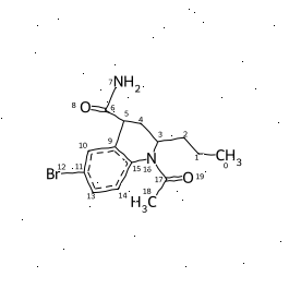 CCCC1CC(C(N)=O)c2cc(Br)ccc2N1C(C)=O